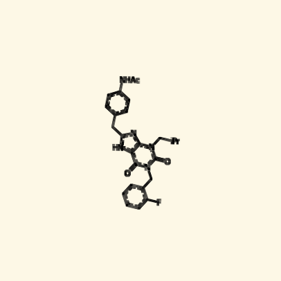 CC(=O)Nc1ccc(Cc2nc3c([nH]2)c(=O)n(Cc2ccccc2F)c(=O)n3CC(C)C)cc1